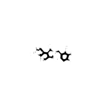 O=C1c2cnc3[nH]ncc3c2C(=O)N1Cc1ccc(F)c(F)c1F